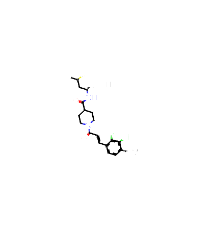 CSc1ccc(C=CC(=O)N2CCC(C(=O)NC(CC(C)S)C(=O)O)CC2)c(Cl)c1Cl